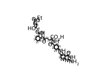 CCO[PH](=O)OCC(O)COC(=O)c1ccccc1NC(=O)CC[C@@H](NC(=O)c1ccc(NCc2cnc3nc(N)[nH]c(=O)c3n2)cc1)C(=O)O